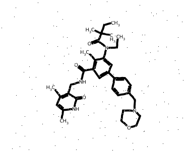 CCN(C(=O)C(C)(C)CC)c1cc(-c2ccc(CN3CCOCC3)cc2)cc(C(=O)NCc2c(C)cc(C)[nH]c2=O)c1C